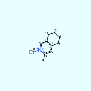 CC[n+]1cc2c(cc1C)CCCC2